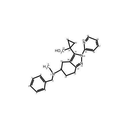 CN(Cc1ccccc1)C1CCc2nn(-c3ccccn3)c(C3(C(=O)O)CC3)c2C1